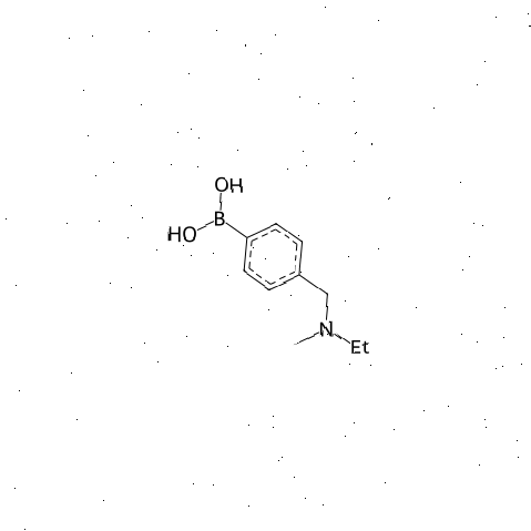 [CH2]CN(C)Cc1ccc(B(O)O)cc1